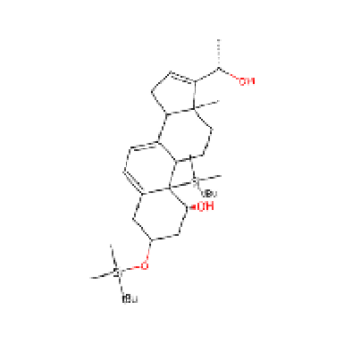 C[C@H](O)C1=CCC2C3=CC=C4CC(O[Si](C)(C)C(C)(C)C)C[C@H](O)C4([Si](C)(C)C(C)(C)C)C3CCC12C